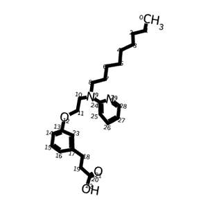 CCCCCCCCCN(CCOc1cccc(CCC(=O)O)c1)c1ccccn1